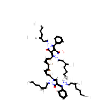 CC1=C(c2ccc(-c3ccc(C4=C5C(=O)N(CCC(C)CCCC(C)C)C(c6ccccc6)=C5C(=O)N4CCC(C)CCCC(C)C)s3)s2)N(CCC(C)CCCC(C)C)C(=O)/C1=C(\c1ccccc1)N(C=O)CCC(C)CCCC(C)C